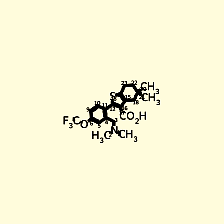 CN(C)Cc1cc(OC(F)(F)F)ccc1-c1sc2c(c1C(=O)O)CC(C)(C)CC2